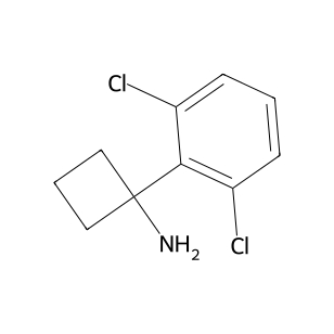 NC1(c2c(Cl)cccc2Cl)CCC1